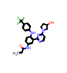 C=CC(=O)Nc1ccc(Nc2ccc(C(F)(F)F)cc2)c(-c2nccc(N3CCC(O)C3)n2)c1